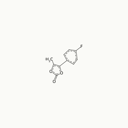 [CH2]c1oc(=O)oc1-c1ccc(F)cc1